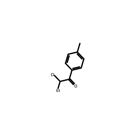 CCC(Cl)C(=O)c1ccc(C)cc1